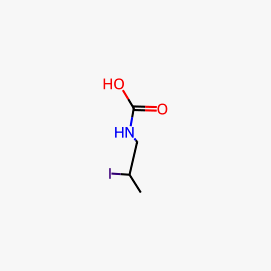 CC(I)CNC(=O)O